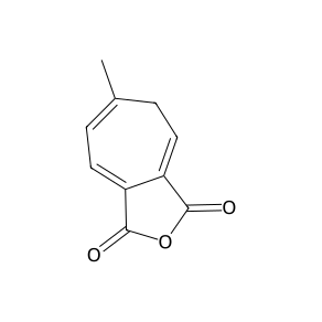 CC1=CC=C2C(=O)OC(=O)C2=CC1